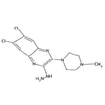 CN1CCN(c2nc3cc(Cl)c(Cl)cc3nc2NN)CC1